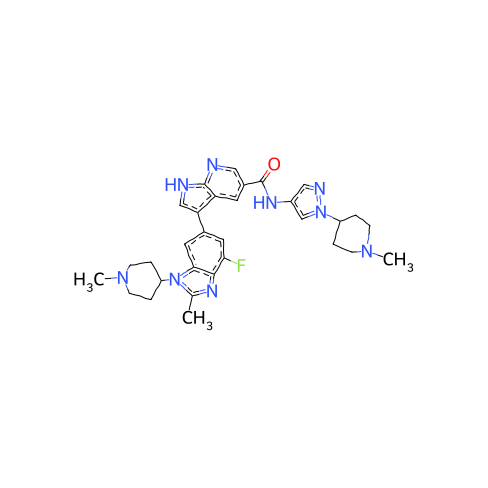 Cc1nc2c(F)cc(-c3c[nH]c4ncc(C(=O)Nc5cnn(C6CCN(C)CC6)c5)cc34)cc2n1C1CCN(C)CC1